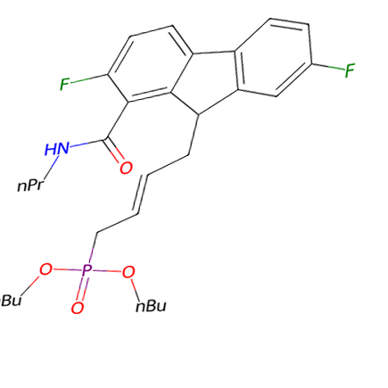 CCCCOP(=O)(C/C=C/CC1c2cc(F)ccc2-c2ccc(F)c(C(=O)NCCC)c21)OCCCC